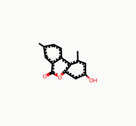 Cc1ccc2c(c1)c(=O)oc1cc(O)cc(C)c12